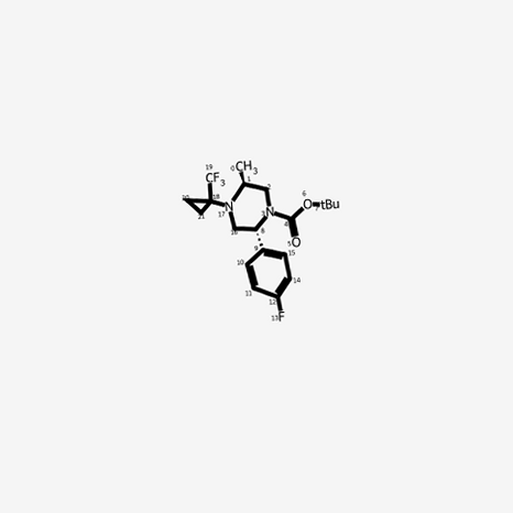 C[C@H]1CN(C(=O)OC(C)(C)C)[C@H](c2ccc(F)cc2)CN1C1(C(F)(F)F)CC1